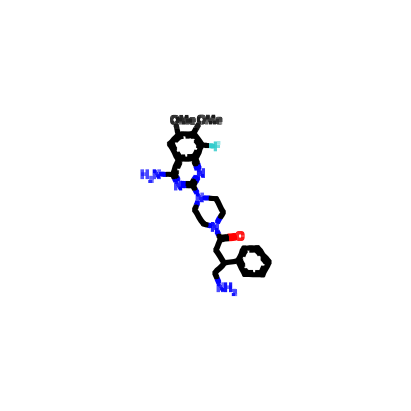 COc1cc2c(N)nc(N3CCN(C(=O)CC(CN)c4ccccc4)CC3)nc2c(F)c1OC